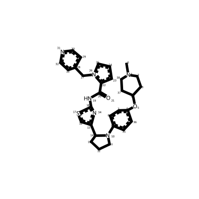 CN1CCC(Oc2ccc(N3CCCC3c3csc(NC(=O)c4cccn4Cc4ccncc4)n3)cc2)CC1